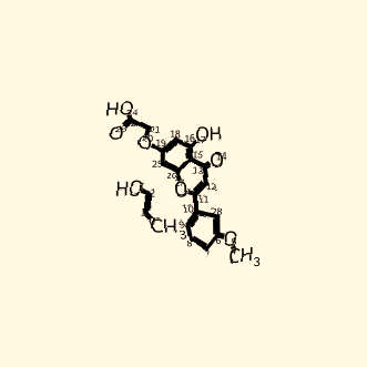 CC=CO.COc1cccc(-c2cc(=O)c3c(O)cc(OCC(=O)O)cc3o2)c1